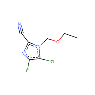 CCOCn1c(C#N)nc(Cl)c1Cl